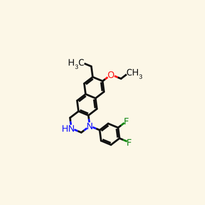 CCOc1cc2cc3c(cc2cc1CC)CNCN3c1ccc(F)c(F)c1